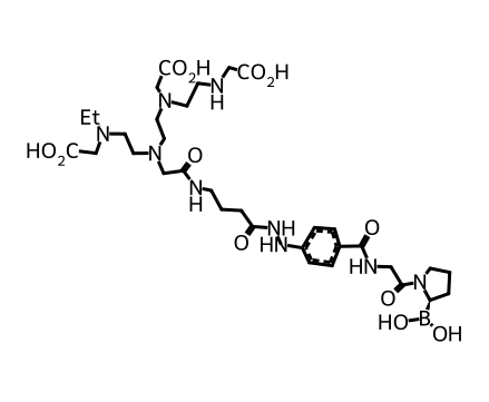 CCN(CCN(CCN(CCNCC(=O)O)CC(=O)O)CC(=O)NCCCC(=O)NNc1ccc(C(=O)NCC(=O)N2CCC[C@H]2B(O)O)cc1)CC(=O)O